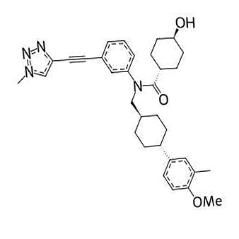 COc1ccc([C@H]2CC[C@H](CN(c3cccc(C#Cc4cn(C)nn4)c3)C(=O)[C@H]3CC[C@H](O)CC3)CC2)cc1C